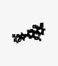 Cc1nc(N2CC(C)(C)C2)cnc1-c1cccc(Cl)c1Cl